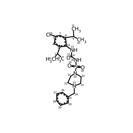 CC(C)c1cc(Cl)cc(C(C)C)c1NC(=O)NS(=O)(=O)N1CCN(Cc2ccccc2)CC1